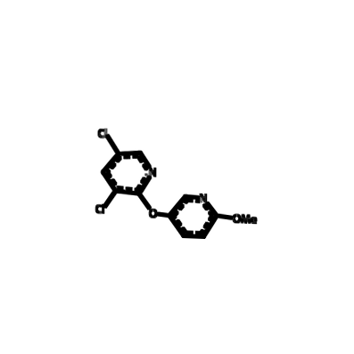 COc1ccc(Oc2ncc(Cl)cc2Cl)cn1